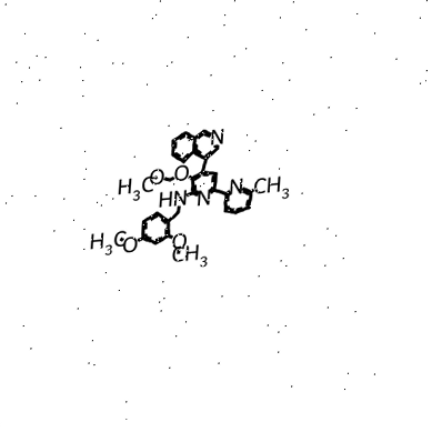 COCOc1c(-c2cncc3ccccc23)cc(-c2cccc(C)n2)nc1NCc1ccc(OC)cc1OC